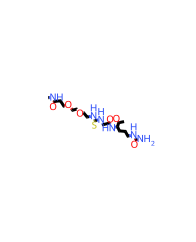 CNC(=O)CCOCCOCCNC(=S)NCC(=O)NC(CCCNC(N)=O)C(C)=O